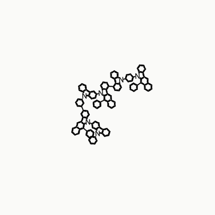 c1ccc(-c2c3ccccc3cc3c4ccccc4n(-c4ccc(-n5c6ccccc6c6c(-c7cccc8c7c7cc9ccccc9c(-c9ccccc9)c7n8-c7ccc8c(c7)c7ccccc7n8-c7cccc(-c8ccc9c(c8)c8cc%10ccccc%10c(-c%10ccccc%10)c8n9-c8ccc9c%10ccccc%10n(-c%10ccccc%10)c9c8)c7)cccc65)cc4)c23)cc1